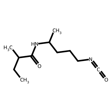 CCC(C)C(=O)NC(C)CCCN=C=O